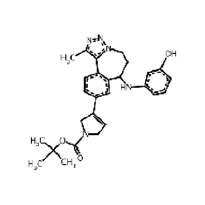 Cc1nnn2c1-c1ccc(C3=CCN(C(=O)OC(C)(C)C)C3)cc1C(Nc1cccc(O)c1)CC2